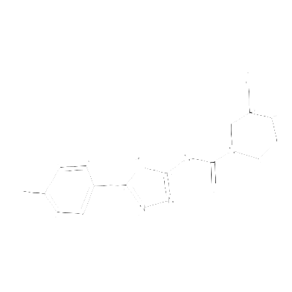 O=C(Nc1nnc(-c2ccc(F)cc2)o1)N1CCCC(C(F)(F)F)C1